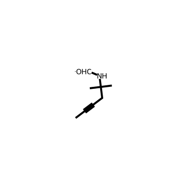 CC#CCC(C)(C)N[C]=O